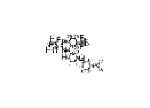 O[C@H](CNC(c1cccc(Oc2cccc(C3CC3)c2)c1)c1cc(C(F)(F)F)ccc1F)C(F)(F)F